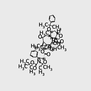 CC(=O)O[C@@]12CO[C@@H]1C[C@H](OC(C)(C)c1ccccc1)[C@@]1(C)CC(=O)C3=C(C)[C@@H](OC(=O)[C@@H]4OC(C)(C)N(C(=O)OC(C)(C)C)[C@@H]4c4ccccc4)C[C@@](O)([C@@H](O)[C@@H]12)C3(C)C